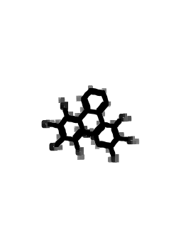 Clc1cc(Cl)c(-c2ccccc2-c2c(Cl)c(Cl)c(Cl)c(Cl)c2Cl)c(Cl)c1Cl